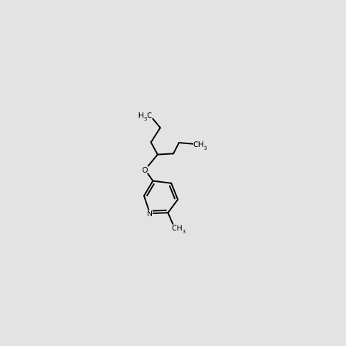 CCCC(CCC)Oc1ccc(C)nc1